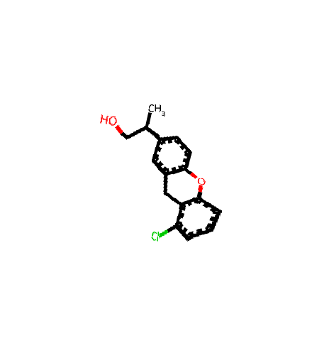 CC(CO)c1ccc2c(c1)Cc1c(Cl)cccc1O2